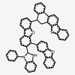 c1ccc(N2c3ccccc3NC2c2ccc3c(oc4c(C5Cc6c(ccc7c6sc6ccccc67)-c6ccccc65)cccc43)c2-c2ccc3oc4ccccc4c3c2)cc1